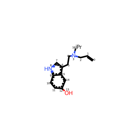 C=CCN(CCc1c[nH]c2ccc(O)cc12)C(C)C